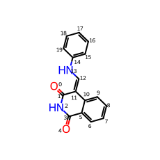 O=C1NC(=O)c2ccccc2C1=CNc1ccccc1